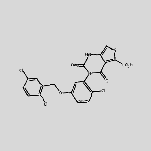 O=C(O)c1scc2[nH]c(=O)n(-c3cc(OCc4cc(Cl)ccc4Cl)ccc3Cl)c(=O)c12